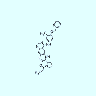 C=CC(=O)N1CCC[C@H]1C(=O)Nc1cc2c(Nc3ccc(OCc4ccccn4)c(C)c3)ncnc2cc1F